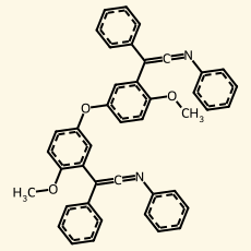 COc1ccc(Oc2ccc(OC)c(C(=C=Nc3ccccc3)c3ccccc3)c2)cc1C(=C=Nc1ccccc1)c1ccccc1